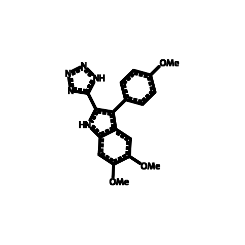 COc1ccc(-c2c(-c3nnn[nH]3)[nH]c3cc(OC)c(OC)cc23)cc1